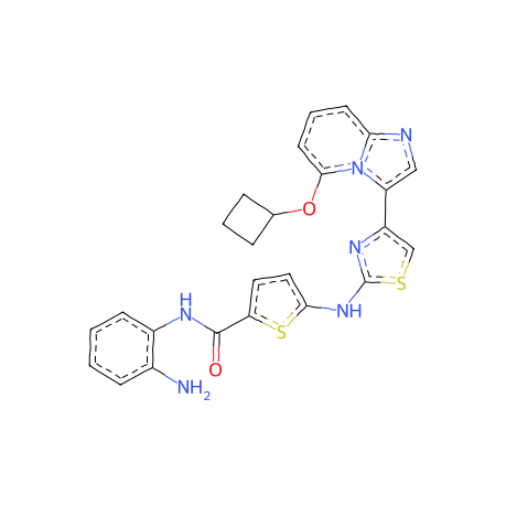 Nc1ccccc1NC(=O)c1ccc(Nc2nc(-c3cnc4cccc(OC5CCC5)n34)cs2)s1